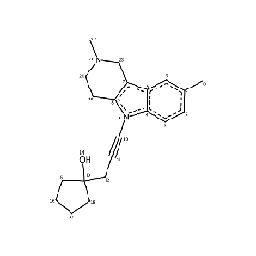 Cc1ccc2c(c1)c1c(n2C#CCC2(O)CCCC2)CCN(C)C1